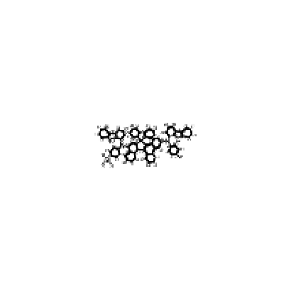 Cc1ccc(N(c2ccc3c4c(c5ccccc5c3c2)-c2c(cc(N(c3ccc([Si](C)(C)C)cc3)c3cccc5c3oc3ccccc35)c3ccccc23)C4(c2ccccc2)c2ccccc2)c2cccc3c2oc2ccccc23)cc1